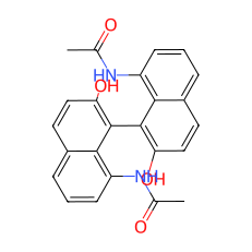 CC(=O)Nc1cccc2ccc(O)c(-c3c(O)ccc4cccc(NC(C)=O)c34)c12